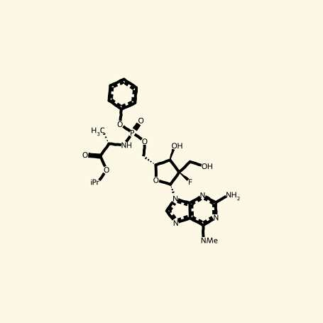 CNc1nc(N)nc2c1ncn2[C@@H]1O[C@H](COP(=O)(N[C@@H](C)C(=O)OC(C)C)Oc2ccccc2)[C@@H](O)[C@]1(F)CO